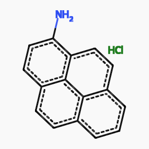 Cl.Nc1ccc2ccc3cccc4ccc1c2c34